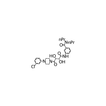 CCCN(CCC)C(=O)c1cccc(NC(=O)C(O)C(O)C(=O)N2CCN(c3cccc(Cl)c3)CC2)c1